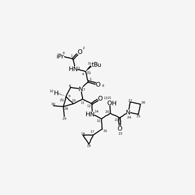 CC(C)C(=O)N[C@H](C(=O)N1C[C@H]2C(C1C(=O)NC(CC1CC1)C(O)C(=O)N1CCC1)C2(C)C)C(C)(C)C